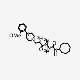 [2H]C(CN1CCN(c2ccccc2OC)CC1)C(=O)N([2H])N([2H])C(=O)NC1CCCCCCC1